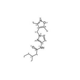 CCC(C)CC(=O)Nc1ccn(Cc2c(C)noc2C)n1